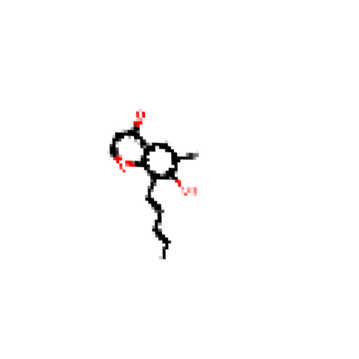 C/C=C/C=C/c1c(O)c(C(C)=O)cc2c(=O)ccoc12